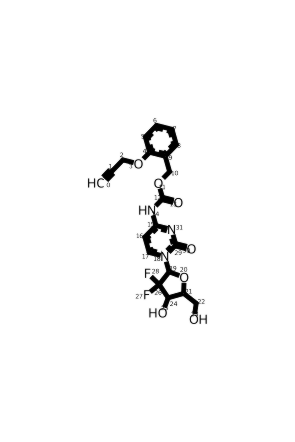 C#CCOc1ccccc1COC(=O)Nc1ccn(C2OC(CO)C(O)C2(F)F)c(=O)n1